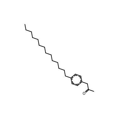 CCCCCCCCCCCCCCc1ccc(CC(C)=O)cc1